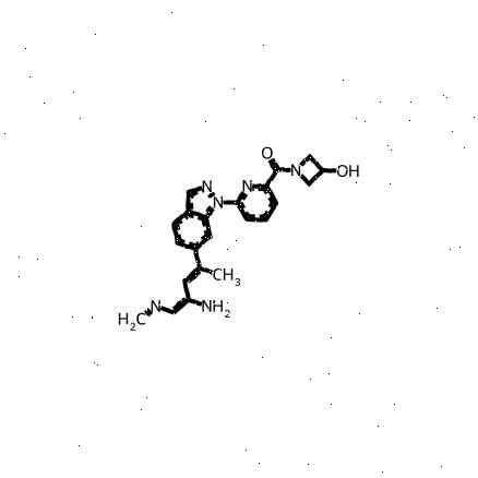 C=N/C=C(N)\C=C(/C)c1ccc2cnn(-c3cccc(C(=O)N4CC(O)C4)n3)c2c1